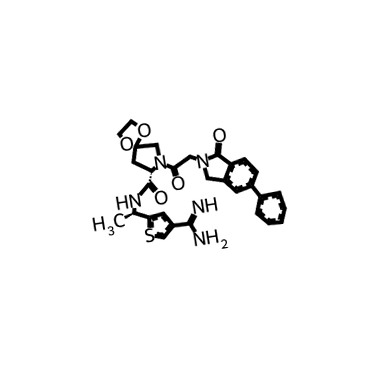 C[C@@H](NC(=O)[C@@H]1CC2(CN1C(=O)CN1Cc3cc(-c4ccccc4)ccc3C1=O)OCCO2)c1cc(C(=N)N)cs1